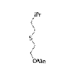 COCCSCCC(C)C